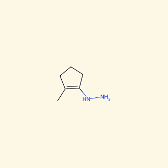 CC1=C(NN)CCC1